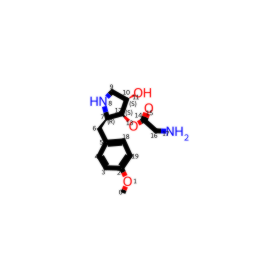 COc1ccc(C[C@H]2NC[C@H](O)[C@H]2OC(=O)CN)cc1